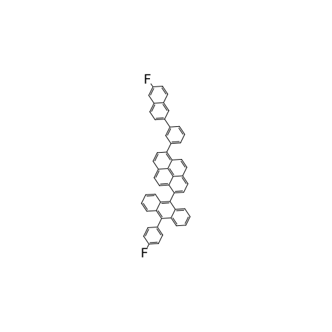 Fc1ccc(-c2c3ccccc3c(-c3ccc4ccc5c(-c6cccc(-c7ccc8cc(F)ccc8c7)c6)ccc6ccc3c4c65)c3ccccc23)cc1